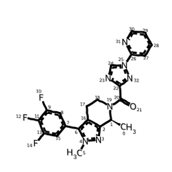 C[C@H]1c2nn(C)c(-c3cc(F)c(F)c(F)c3)c2CCN1C(=O)c1ncn(-c2ccccn2)n1